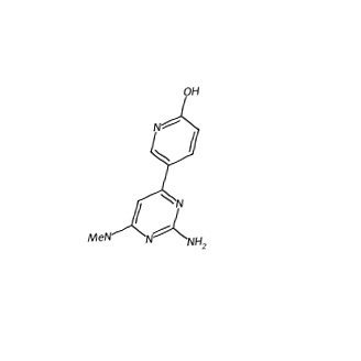 CNc1cc(-c2ccc(O)nc2)nc(N)n1